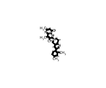 Cc1ccc(-c2cnc3c(c2)CN(c2nn4c(=O)cc(C)nc4c(C)c2C)CC3)c(C)c1